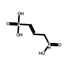 O=[PH](O)CC=CP(=O)(O)O